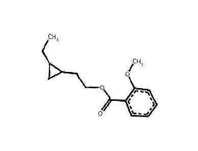 CCC1CC1CCOC(=O)c1ccccc1OC